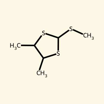 CSC1SC(C)C(C)S1